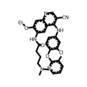 CCOc1cc2ncc(C#N)c(Nc3ccc(Oc4ncccc4C)c(Cl)c3)c2cc1NC(=O)CCCN(C)C